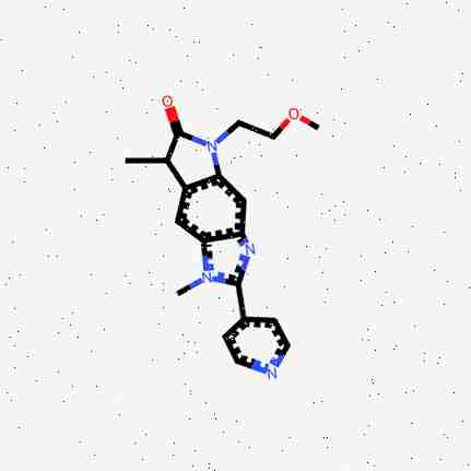 COCCN1C(=O)C(C)c2cc3c(cc21)nc(-c1ccncc1)n3C